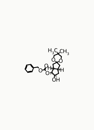 CC1(C)COC2(C[C@@H]3C[C@@H](O)[C@H](OC(=O)OCc4ccccc4)[C@@H]3C2)OC1